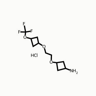 Cl.NC1CC(OCCOC2CC(OC(F)(F)F)C2)C1